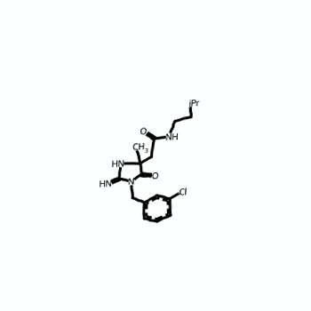 CC(C)CCNC(=O)CC1(C)NC(=N)N(Cc2cccc(Cl)c2)C1=O